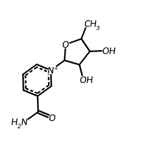 CC1OC([n+]2cccc(C(N)=O)c2)C(O)C1O